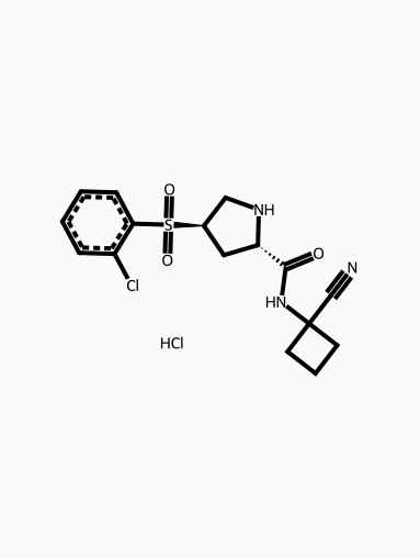 Cl.N#CC1(NC(=O)[C@@H]2C[C@@H](S(=O)(=O)c3ccccc3Cl)CN2)CCC1